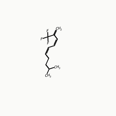 C=C(/C=C\C=C/CCC(C)C)C(F)(F)F